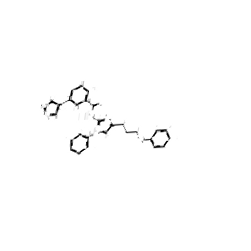 O=C(Nc1nc(CCCNc2ccccc2)cn1-c1ccccc1)c1cccc(-c2cn[nH]c2)c1